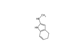 CBc1cc2c([nH]1)C=CCC2